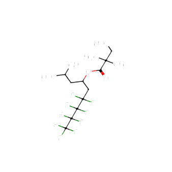 CCC(C)(C)C(=O)OC(CC(C)C)CC(F)(F)C(F)(F)C(F)(F)C(F)(F)F